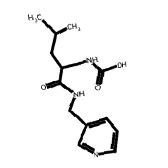 CC(C)CC(NC(=O)O)C(=O)NCc1cccnc1